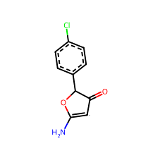 NC1=[C]C(=O)C(c2ccc(Cl)cc2)O1